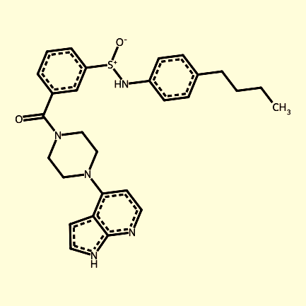 CCCCc1ccc(N[S+]([O-])c2cccc(C(=O)N3CCN(c4ccnc5[nH]ccc45)CC3)c2)cc1